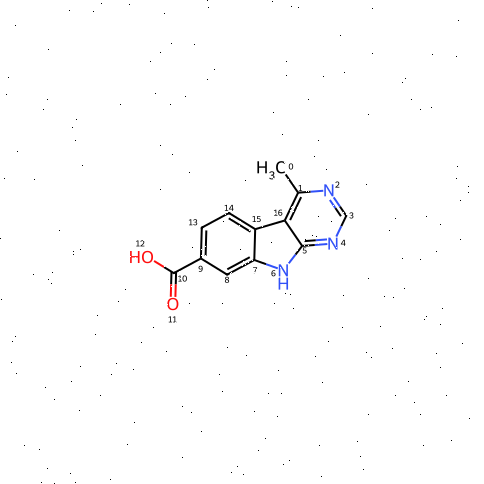 Cc1ncnc2[nH]c3cc(C(=O)O)ccc3c12